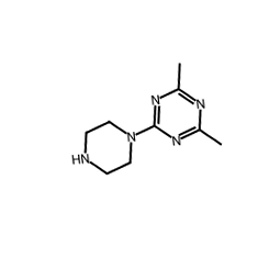 Cc1nc(C)nc(N2CCNCC2)n1